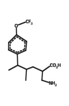 CC(CC(CN)C(=O)O)C(C)c1ccc(OC(F)(F)F)cc1